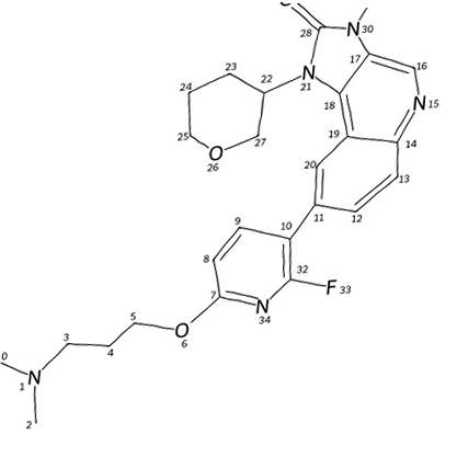 CN(C)CCCOc1ccc(-c2ccc3ncc4c(c3c2)n(C2CCCOC2)c(=O)n4C)c(F)n1